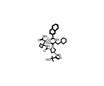 CC(C)(O)c1cnnn1[C@H]1C[C@@H](C(=O)NC2(C(O)C(N)=O)CCC2)N(C(=O)C(CC2CCCCC2)NC(=O)c2ccc3ccccc3c2)C1